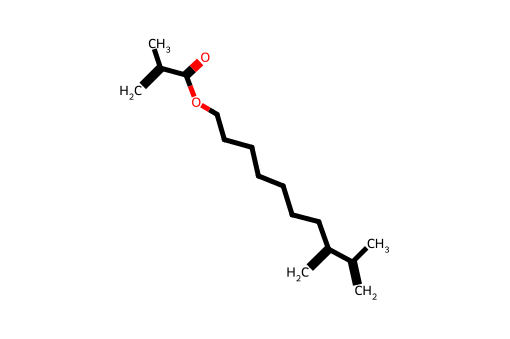 C=C(C)C(=C)CCCCCCCOC(=O)C(=C)C